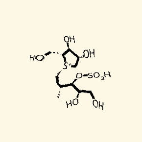 C[C@H](C[S@@+]1C[C@@H](O)[C@H](O)[C@H]1CO)[C@@H](OS(=O)(=O)O)[C@H](O)CO